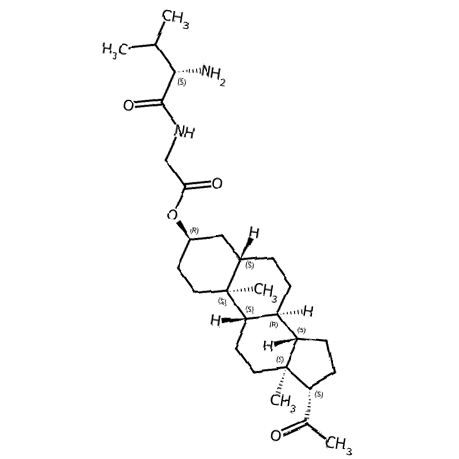 CC(=O)[C@H]1CC[C@H]2[C@@H]3CC[C@H]4C[C@H](OC(=O)CNC(=O)[C@@H](N)C(C)C)CC[C@]4(C)[C@H]3CC[C@]12C